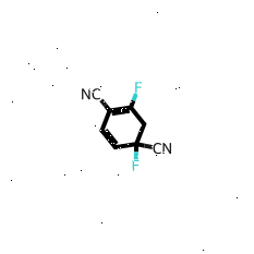 N#CC1=C(F)CC(F)(C#N)C=C1